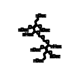 CCCCCCCCCCCCC(OCCCCCCCCCC)=C(OCCCCCCCCCC)C(CCCCCC)OCOCOC(CCCCCC)C(OCCCCCCCCCC)=C(CCCCCCCCCCCC)OCCCCCCCCCC